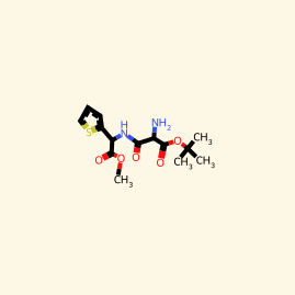 COC(=O)C(NC(=O)C(N)C(=O)OC(C)(C)C)c1cccs1